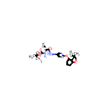 CC[C@@H](NC(=O)OC(C)(C)C)C(=O)Nc1cnc(Oc2cccc3c2C(C)(C)CO3)nc1